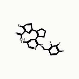 O=C(O)c1cc(C2=C(c3cc(Cl)cnc3OCc3ccc(F)c(F)c3F)CCC2)ccc1F